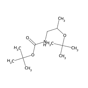 CC(CNC(=O)OC(C)(C)C)OC(C)(C)C